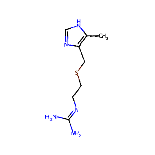 Cc1[nH]cnc1CSCCN=C(N)N